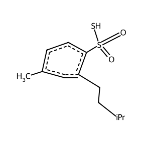 Cc1ccc(S(=O)(=O)S)c(CCC(C)C)c1